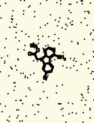 CC(C)(C)OC(=O)Cn1c2cc(Br)ccc2c2c(N)ncnc21